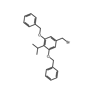 CC(C)c1c(OCc2ccccc2)cc(CBr)cc1OCc1ccccc1